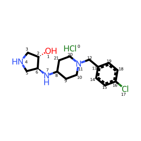 Cl.O[C@H]1CNC[C@@H]1NC1CCN(Cc2ccc(Cl)cc2)CC1